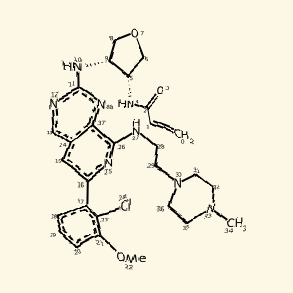 C=CC(=O)N[C@H]1COC[C@H]1Nc1ncc2cc(-c3cccc(OC)c3Cl)nc(NCCN3CCN(C)CC3)c2n1